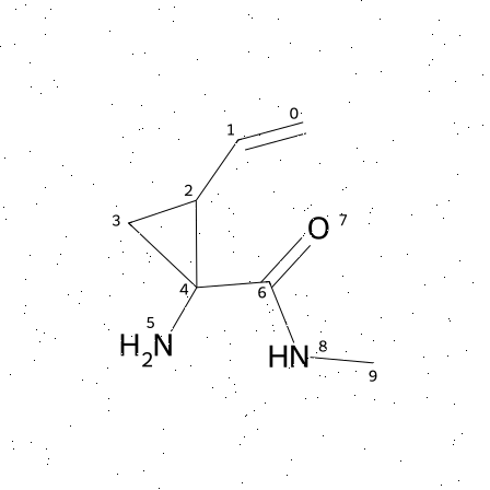 C=CC1CC1(N)C(=O)NC